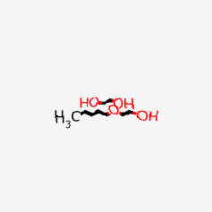 CCCCCOCCO.OCCO